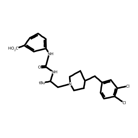 CC(C)(C)C(CN1CCC(Cc2ccc(Cl)c(Cl)c2)CC1)NC(=O)Nc1cccc(C(=O)O)c1